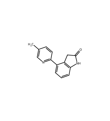 Cc1ccc(-c2cccc3c2CC(=O)N3)nc1